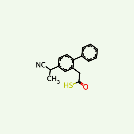 CC(C#N)c1ccc(-c2ccccc2)c(CC(=O)S)c1